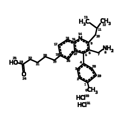 Cc1ccc(-c2c(CN)c(CC(C)C)nc3ccc(CCCCC(=O)O)cc23)cc1.Cl.Cl